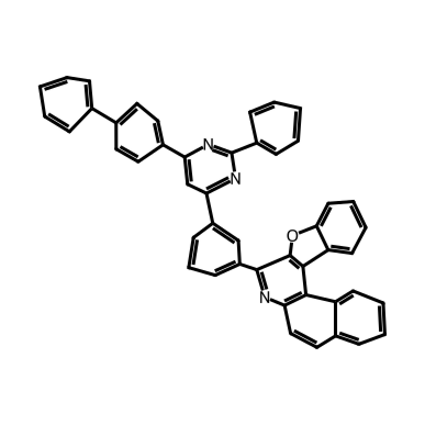 c1ccc(-c2ccc(-c3cc(-c4cccc(-c5nc6ccc7ccccc7c6c6c5oc5ccccc56)c4)nc(-c4ccccc4)n3)cc2)cc1